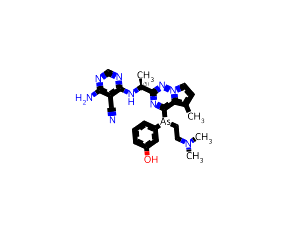 Cc1ccn2nc([C@H](C)Nc3ncnc(N)c3C#N)nc([As](CCN(C)C)c3cccc(O)c3)c12